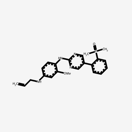 C=CCNc1ccc(Nc2ncc(-c3ccccc3P(C)(C)=O)cn2)c(OC)c1